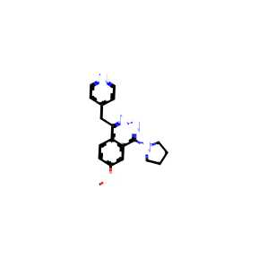 COc1ccc2c(Cc3ccncc3)nnc(N3CCCC3)c2c1